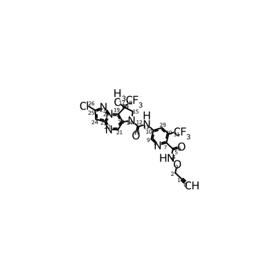 C#CCONC(=O)c1ncc(NC(=O)N2C[C@@](C)(C(F)(F)F)c3c2cnc2cc(Cl)nn32)cc1C(F)(F)F